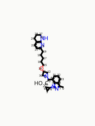 Cc1nn(C2CC2)c2c(C(C(=O)O)N3CC(OCCCCCc4ccc5c(n4)NCCC5)C3)cccc12